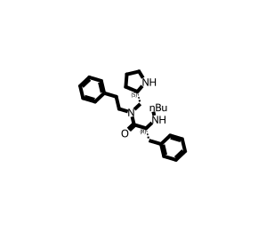 CCCCN[C@H](Cc1ccccc1)C(=O)N(CCc1ccccc1)C[C@@H]1CCCN1